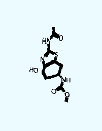 COC(=O)N[C@H]1CCc2nc(NC(C)=O)sc2C1.Cl